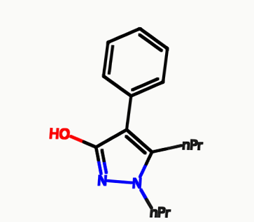 CCCc1c(-c2ccccc2)c(O)nn1CCC